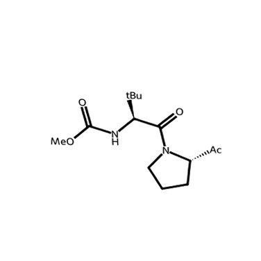 COC(=O)N[C@H](C(=O)N1CCC[C@H]1C(C)=O)C(C)(C)C